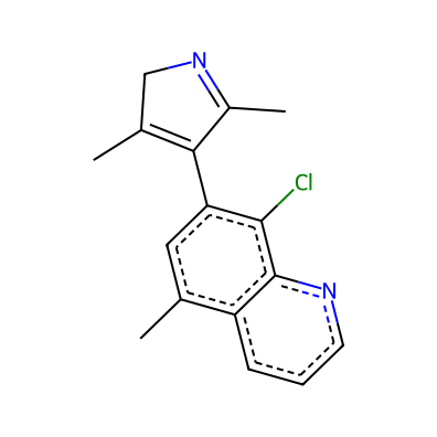 CC1=NCC(C)=C1c1cc(C)c2cccnc2c1Cl